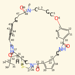 CN1CCCCOc2ccc(cc2)C(=O)NCc2cccc(c2)C(=O)[N+]2(C)CSC(C2)[C@@H](CC(C)(C)C)C(=O)Nc2ccc(cc2)CCC1=O